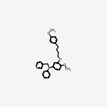 COc1ccc(CCCCOc2cc(N(Cc3cccnc3)c3ccccc3)ccc2OC)cc1